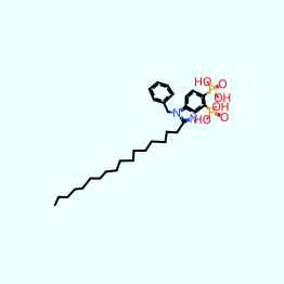 CCCCCCCCCCCCCCCCCc1nc2c(P(=O)(O)O)c(P(=O)(O)O)ccc2n1Cc1ccccc1